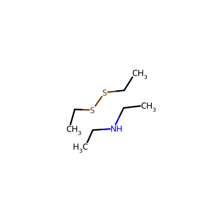 CCNCC.CCSSCC